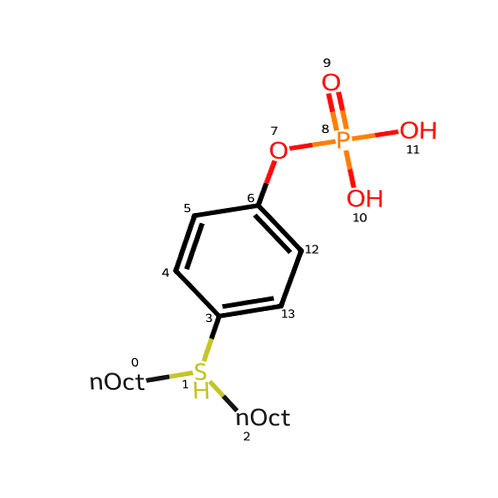 CCCCCCCC[SH](CCCCCCCC)c1ccc(OP(=O)(O)O)cc1